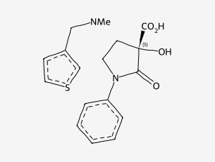 CNCc1ccsc1.O=C(O)[C@]1(O)CCN(c2ccccc2)C1=O